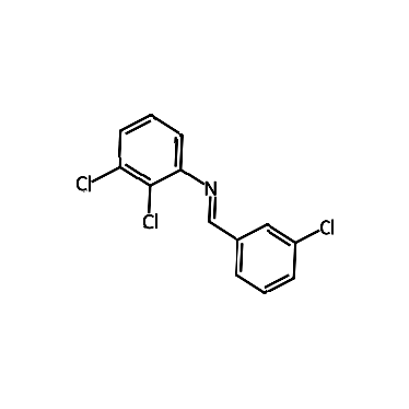 Clc1cccc(C=Nc2cccc(Cl)c2Cl)c1